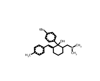 Cc1ccc(C=C2CCCC(CN(C)C)C2(O)c2ccc(C(C)(C)C)cc2)cc1